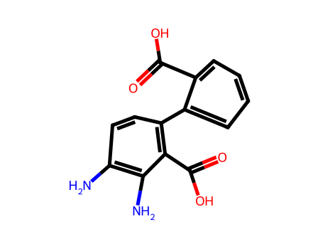 Nc1ccc(-c2ccccc2C(=O)O)c(C(=O)O)c1N